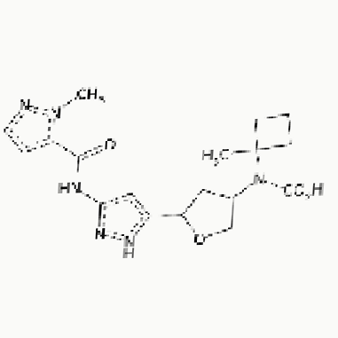 Cn1nccc1C(=O)Nc1cc(C2CC(N(C(=O)O)C3(C)CCC3)CO2)[nH]n1